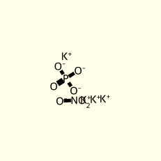 O=P([O-])([O-])[O-].O=[N+]([O-])[O-].[K+].[K+].[K+].[K+]